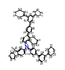 CC1(C)c2ccccc2-c2ccc(N(c3ccc(-c4cccc(C5CCCCC5)c4)cc3)c3ccc(-c4ccc(-c5cc(C6CCCCC6)cc(C6CCCCC6)c5)cc4)c4c3CCCC4)cc21